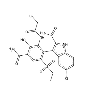 CCS(=O)(=O)c1cc(C(N)=O)c(O)c(NC(=O)CCl)c1-c1c(C(=O)O)[nH]c2ccc(Cl)cc12